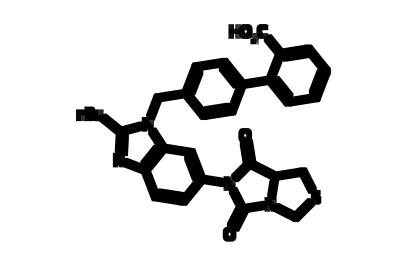 CCCCc1nc2ccc(N3C(=O)C4CSCN4C3=O)cc2n1Cc1ccc(-c2ccccc2C(=O)O)cc1